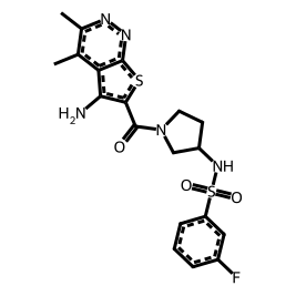 Cc1nnc2sc(C(=O)N3CCC(NS(=O)(=O)c4cccc(F)c4)C3)c(N)c2c1C